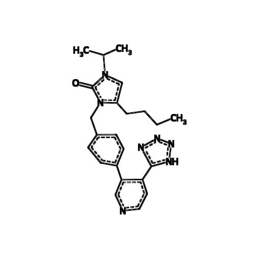 CCCCc1cn(C(C)C)c(=O)n1Cc1ccc(-c2cnccc2-c2nnn[nH]2)cc1